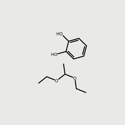 CCOC(C)OCC.Oc1ccccc1O